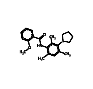 COc1ccccc1C(=O)Nc1c(C)cc(C)c(N2CCCC2)c1C